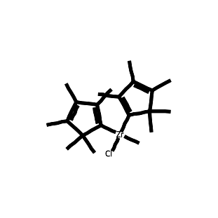 CC1=C(C)C(C)(C)[C]([Zr]([CH3])([Cl])[C]2=C(C)C(C)=C(C)C2(C)C)=C1C